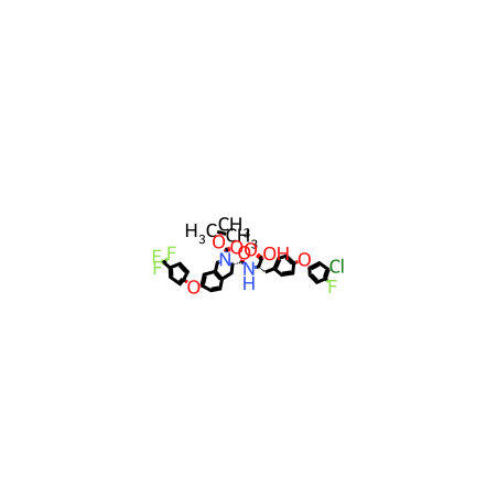 CC(C)(C)OC(=O)N1Cc2cc(Oc3ccc(C(F)(F)F)cc3)ccc2C[C@H]1C(=O)N[C@@H](Cc1ccc(Oc2ccc(F)c(Cl)c2)cc1)C(=O)O